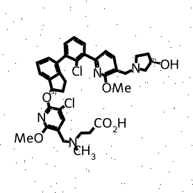 COc1nc(-c2cccc(-c3cccc4c3CC[C@@H]4Oc3nc(OC)c(CN(C)CCC(=O)O)cc3Cl)c2Cl)ccc1CN1CC[C@@H](O)C1